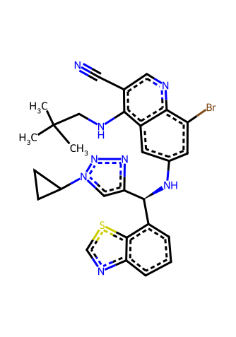 CC(C)(C)CNc1c(C#N)cnc2c(Br)cc(N[C@H](c3cn(C4CC4)nn3)c3cccc4ncsc34)cc12